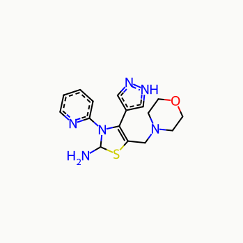 NC1SC(CN2CCOCC2)=C(c2cn[nH]c2)N1c1ccccn1